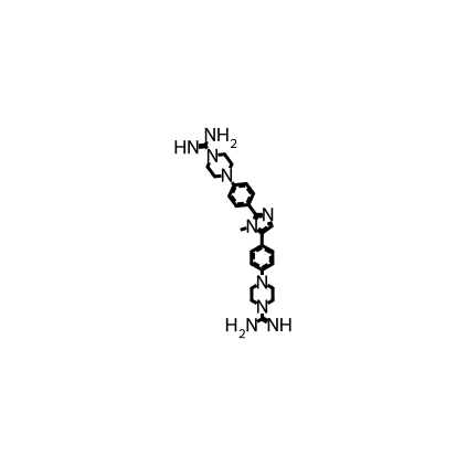 Cn1c(-c2ccc(N3CCN(C(=N)N)CC3)cc2)cnc1-c1ccc(N2CCN(C(=N)N)CC2)cc1